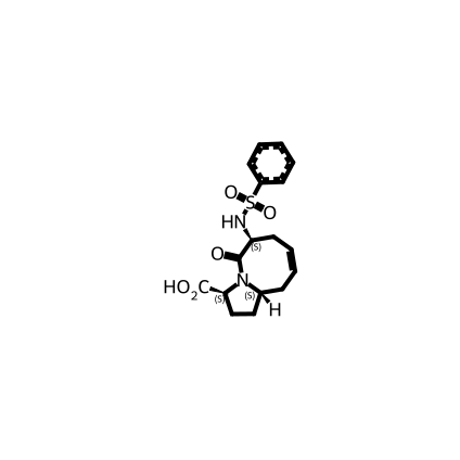 O=C(O)[C@@H]1CC[C@H]2CC=CC[C@H](NS(=O)(=O)c3ccccc3)C(=O)N21